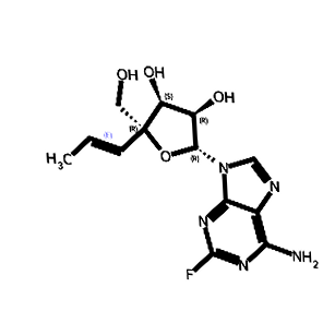 C/C=C/[C@]1(CO)O[C@@H](n2cnc3c(N)nc(F)nc32)[C@H](O)[C@@H]1O